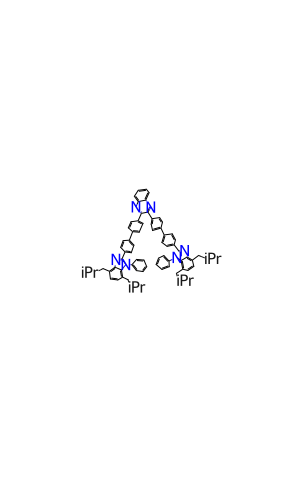 CC(C)Cc1ccc(CC(C)C)c2c1nc(-c1ccc(-c3ccc(-c4nc5ccccc5nc4-c4ccc(-c5ccc(-c6nc7c(CC(C)C)ccc(CC(C)C)c7n6-c6ccccc6)cc5)cc4)cc3)cc1)n2-c1ccccc1